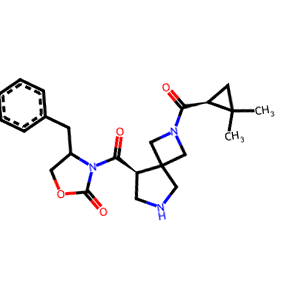 CC1(C)C[C@@H]1C(=O)N1CC2(CNC[C@H]2C(=O)N2C(=O)OCC2Cc2ccccc2)C1